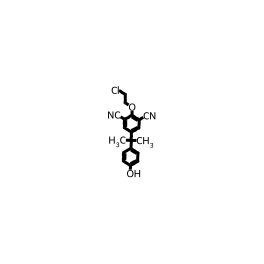 CC(C)(c1ccc(O)cc1)c1cc(C#N)c(OCCCl)c(C#N)c1